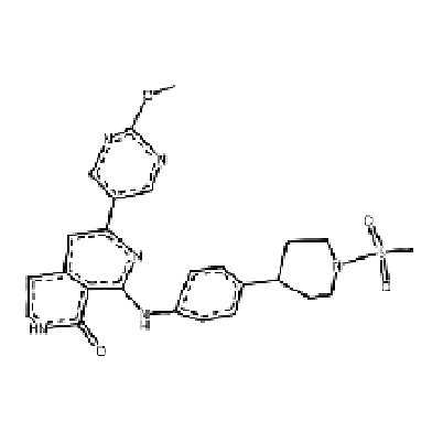 COc1ncc(-c2cc3cc[nH]c(=O)c3c(Nc3ccc(C4CCN(S(C)(=O)=O)CC4)cc3)n2)cn1